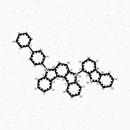 c1ccc(-c2ccc(-n3c4ccccc4c4c5c6ccccc6n(-c6cccc7c6sc6ccccc67)c5ccc43)cc2)cc1